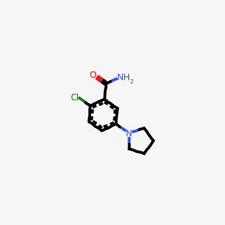 NC(=O)c1cc(N2CCCC2)ccc1Cl